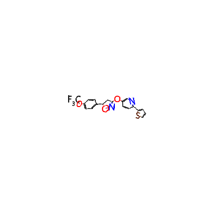 FC(F)(F)Oc1ccc([C@H]2CC(Oc3ccc(-c4cccs4)nc3)=NO2)cc1